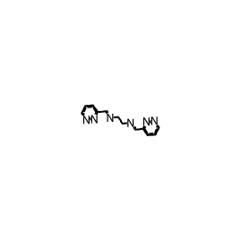 C(=NCCN=Cc1cccnn1)c1cccnn1